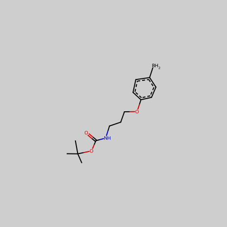 Bc1ccc(OCCCNC(=O)OC(C)(C)C)cc1